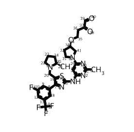 Cc1nc(Nc2nc(-c3cc(F)cc(C(F)(F)F)c3)c(CN3CCC[C@H]3C)s2)cc(N2CC[C@@H](OCCC(=O)C=O)C2)n1